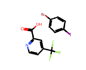 Brc1ccc(I)cc1.O=C(O)c1cc(C(F)(F)F)ccn1